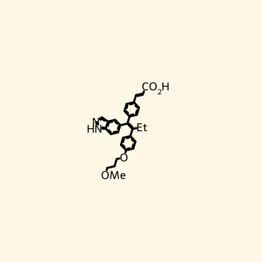 CCC(=C(c1ccc(C=CC(=O)O)cc1)c1ccc2[nH]ncc2c1)c1ccc(OCCCOC)cc1